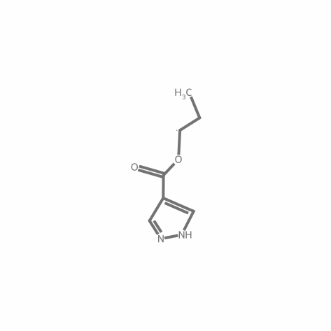 CC[CH]OC(=O)c1cn[nH]c1